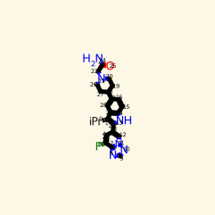 CC(C)c1c(-c2cc(F)c3ncnn3c2)[nH]c2ccc(C3CCN(CC(N)=O)CC3)cc12